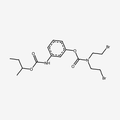 CCC(C)OC(=O)Nc1cccc(OC(=O)N(CCBr)CCBr)c1